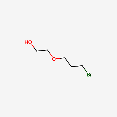 OCCOCCCBr